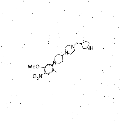 COc1cc(N2CCC(N3CCN(CC4CCNC4)CC3)CC2)c(C)cc1[N+](=O)[O-]